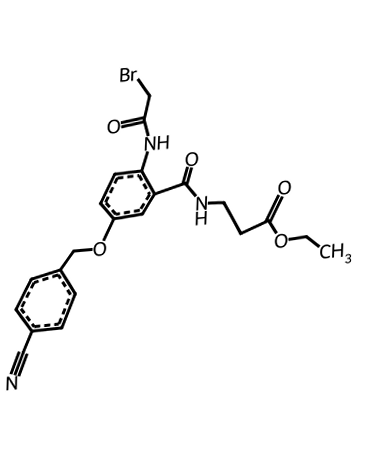 CCOC(=O)CCNC(=O)c1cc(OCc2ccc(C#N)cc2)ccc1NC(=O)CBr